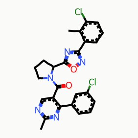 Cc1ncc(C(=O)N2CCCC2c2nc(-c3cccc(Cl)c3C)no2)c(-c2cccc(Cl)c2)n1